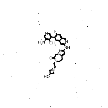 Cc1c(N)cncc1-c1cc2cc(Nc3cc4n(n3)CC(=O)N(CCN3CC(O)C3)CC4)ncc2cc1F